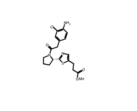 COC(=O)CCc1cnc([C@@H]2CCCN2C(=O)Cc2ccc(N)c(Cl)c2)s1